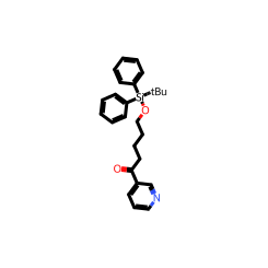 CC(C)(C)[Si](OCCCCC(=O)c1cccnc1)(c1ccccc1)c1ccccc1